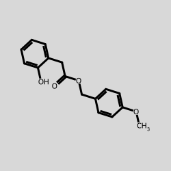 COc1ccc(COC(=O)Cc2ccccc2O)cc1